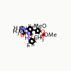 COC(=O)Oc1ccc(-c2ccc3c(c2COc2cc(F)ccc2C)NC(=O)C(C)(C)N3)c(OC)c1